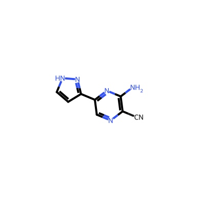 N#Cc1ncc(-c2cc[nH]n2)nc1N